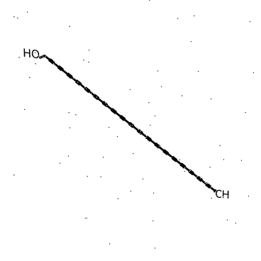 C#CC#CC#CC#CC#CC#CC#CC#CC#CC#CC#CC#CC#CC#CC#CC#CC#CC#CC#CC#CCCO